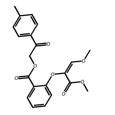 COC=C(Oc1ccccc1C(=O)OCC(=O)c1ccc(C)cc1)C(=O)OC